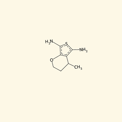 CC1CCOc2c(N)sc(N)c21